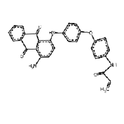 C=CC(=O)Nc1ccc(Oc2ccc(Nc3ccc(N)c4c3C(=O)c3ccccc3C4=O)cc2)cc1